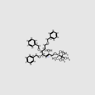 CC(C)(C)[Si](C)(C)OC/C=C/[C@@H](OCc1ccccc1)[C@H](OCc1ccccc1)[C@@H](O)COCc1ccccc1